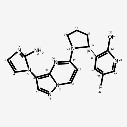 Nc1nccn1-c1cnn2ccc(N3CCC[C@@H]3c3cc(F)cnc3O)nc12